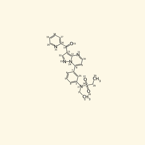 CCN(c1cccc(-c2ccnc3c(C(=O)c4ccccn4)cnn23)c1)S(=O)(=O)CC